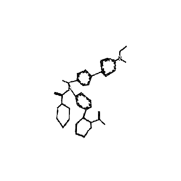 C=C(C)C1CCCCC1c1cccc(N(C(=C)C2CCCCC2)C(C)c2ccc(-c3ccc(N(C)CC)cc3)cc2)c1